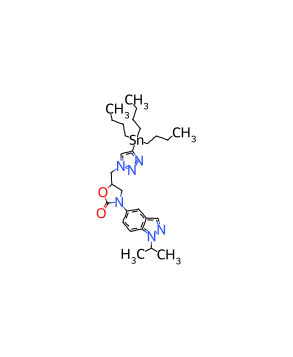 CCC[CH2][Sn]([CH2]CCC)([CH2]CCC)[c]1cn(CC2CN(c3ccc4c(cnn4C(C)C)c3)C(=O)O2)nn1